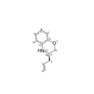 C=CC[C@@H]1COc2ccccc2N1